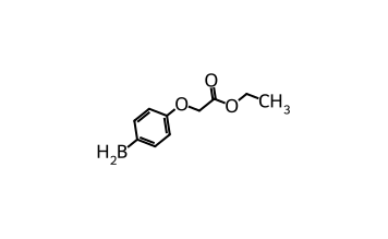 Bc1ccc(OCC(=O)OCC)cc1